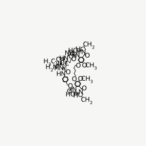 C=CCOC(=O)N1c2cc(OCCCCCOc3cc4c(cc3OC)C(=O)N3CC(=C)C[C@H]3[C@H](O)N4C(=O)OCc3ccc(NC(=O)[C@H](CCCNC(N)=O)NC(=O)[C@@H](N)C(C)C)cc3)c(OC)cc2C(=O)N2CC(=C)C[C@H]2[C@@H]1O